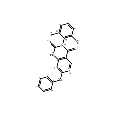 O=c1[nH]c2nc(Nc3ccccc3)ncc2c(=O)n1-c1c(Cl)cccc1Cl